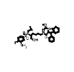 COC(=O)NC(C(=O)NCCCCC(CO)N(CC(C)C)S(=O)(=O)c1ccc(F)c(N)c1)C(c1ccccc1)c1ccccc1